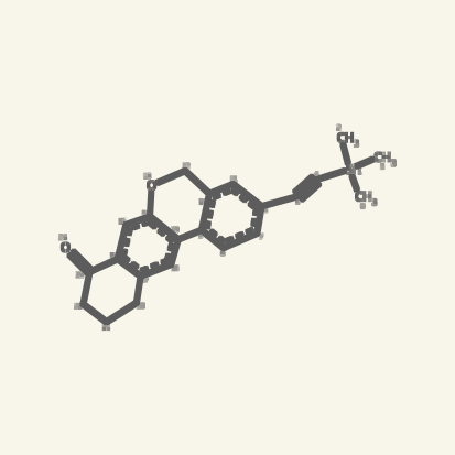 C[Si](C)(C)C#Cc1ccc2c(c1)COc1cc3c(cc1-2)CCCC3=O